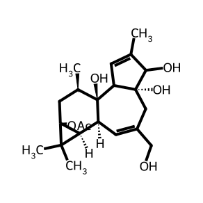 CC(=O)O[C@@]12C[C@@H](C)[C@]3(O)C4C=C(C)C(O)[C@@]4(O)CC(CO)=C[C@H]3[C@H]1C2(C)C